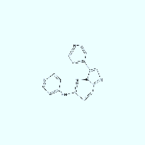 c1cc(Nc2ccc3ncc(-c4ccncc4)n3n2)ccn1